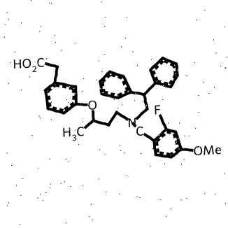 COc1ccc(CN(CCC(C)Oc2cccc(CC(=O)O)c2)CC(c2ccccc2)c2ccccc2)c(F)c1